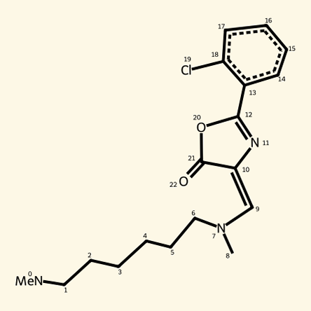 CNCCCCCCN(C)C=C1N=C(c2ccccc2Cl)OC1=O